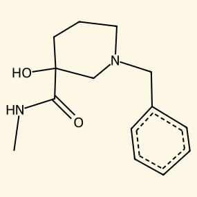 CNC(=O)C1(O)CCCN(Cc2ccccc2)C1